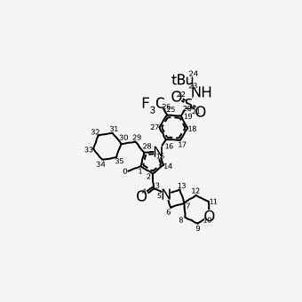 Cc1c(C(=O)N2CC3(CCOCC3)C2)cn(-c2ccc(S(=O)(=O)NC(C)(C)C)c(C(F)(F)F)c2)c1CC1CCCCC1